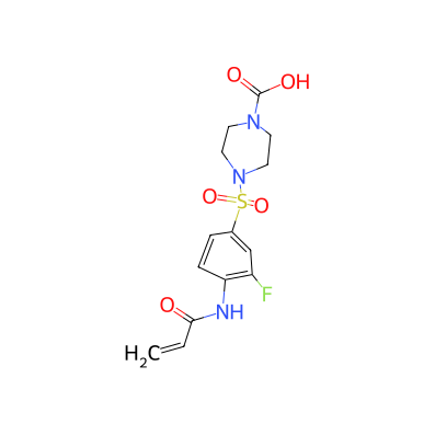 C=CC(=O)Nc1ccc(S(=O)(=O)N2CCN(C(=O)O)CC2)cc1F